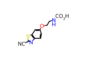 N#Cc1nc2ccc(OCCNC(=O)O)cc2s1